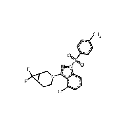 Cc1ccc(S(=O)(=O)n2nc(N3CCC4C(C3)C4(F)F)c3c(Cl)cccc32)cc1